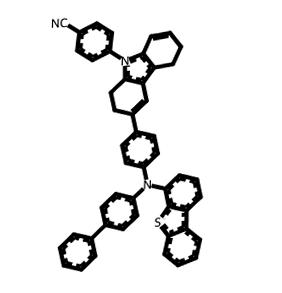 N#Cc1ccc(-n2c3c(c4c2CCC(c2ccc(N(c5ccc(-c6ccccc6)cc5)c5cccc6c5sc5ccccc56)cc2)=C4)CCC=C3)cc1